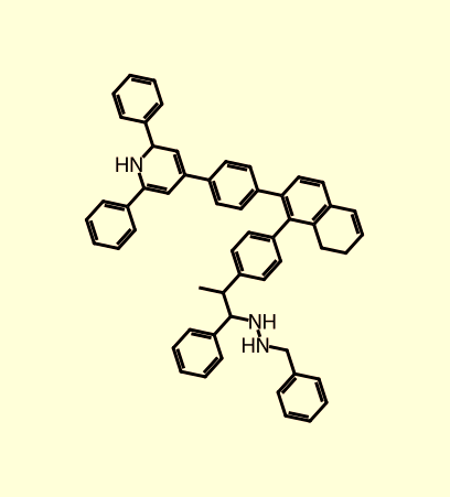 CC(c1ccc(-c2c(-c3ccc(C4=CC(c5ccccc5)NC(c5ccccc5)=C4)cc3)ccc3c2CCC=C3)cc1)C(NNCc1ccccc1)c1ccccc1